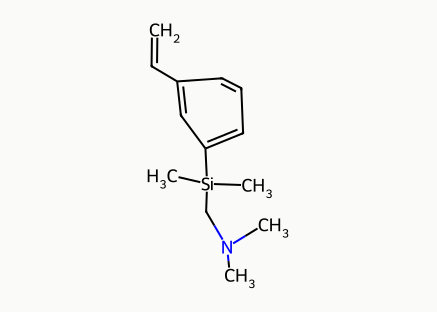 C=Cc1cccc([Si](C)(C)CN(C)C)c1